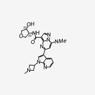 CNc1cc(-c2cn(C3CN(C)C3)c3ncccc23)nc2c(C(=O)N[C@H]3COC[C@H]3O)cnn12